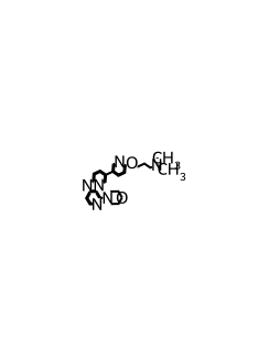 CN(C)CCCOc1ccc(-c2ccc3nc4ccnc(N5CCOCC5)c4n3c2)cn1